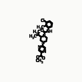 COC(=O)c1cnc(N2CCN(C(=O)Nc3cccc(Cl)c3C)C(C(C)C)C2)cn1